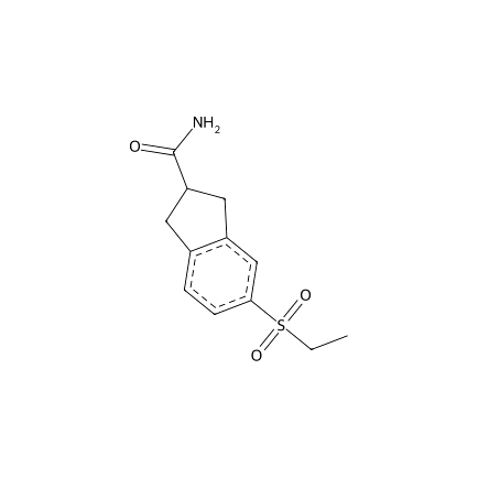 CCS(=O)(=O)c1ccc2c(c1)CC(C(N)=O)C2